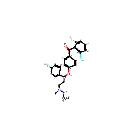 CN(CCC(Oc1ccc(C(=O)c2c(F)cccc2F)cc1)c1ccc(F)cc1)CC(=O)O